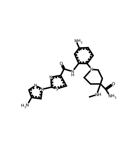 CNC1(C(N)=O)CCN(c2ccc(N)cc2NC(=O)c2csc(-n3cc(N)cn3)n2)CC1